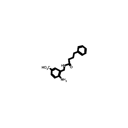 Nc1ccc(C(=O)O)cc1CNC(=O)CCCc1ccccc1